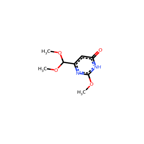 COc1nc(C(OC)OC)cc(=O)[nH]1